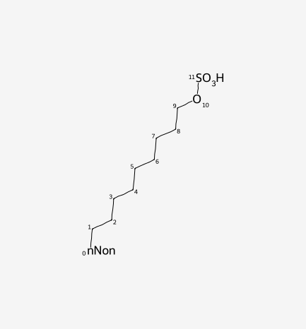 CCCCCCCCCCCCCCCCCCOS(=O)(=O)O